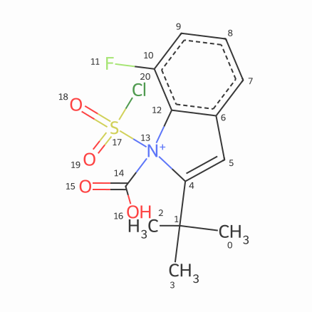 CC(C)(C)C1=Cc2cccc(F)c2[N+]1(C(=O)O)S(=O)(=O)Cl